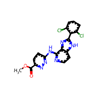 COC(=O)c1ccc(Nc2nccc3[nH]c(-c4c(Cl)cccc4Cl)nc23)nn1